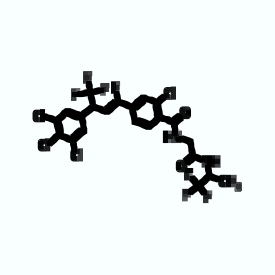 CC(NC(=O)CNC(=O)c1ccc(/C(F)=C/C(c2cc(Cl)c(Cl)c(Cl)c2)C(F)(F)F)cc1Cl)C(F)(F)F